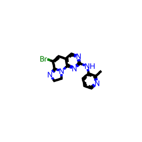 Cc1ncccc1Nc1ncc2c(n1)N1CCN=C1C(Br)=C2